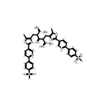 CC[C@@H](C)C(=N)C(Cc1nc(-c2ccc(-c3ccc(S(C)(=O)=O)cc3)nc2)oc1C)C(=O)C(Cc1nc(-c2ccc(-c3ccc(S(C)(=O)=O)cc3)nc2)oc1C)C(=N)[C@H](C)CC